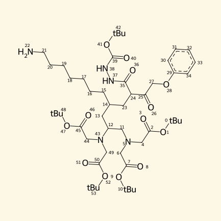 CC(C)(C)OC(=O)CN(CC(=O)OC(C)(C)C)CC(CC(CCCCCCCN)CC(C(=O)COc1ccccc1)C(=O)NNC(=O)OC(C)(C)C)N(CC(=O)OC(C)(C)C)CC(=O)OC(C)(C)C